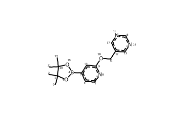 CC1(C)OB(c2ccnc(OCc3cncnc3)c2)OC1(C)C